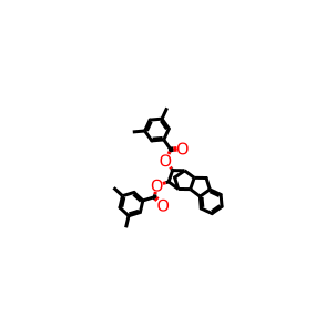 Cc1cc(C)cc(C(=O)OC2C3CC(C2OC(=O)c2cc(C)cc(C)c2)C2c4ccccc4CC32)c1